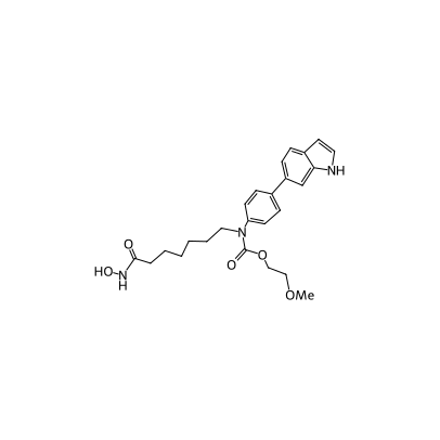 COCCOC(=O)N(CCCCCCC(=O)NO)c1ccc(-c2ccc3cc[nH]c3c2)cc1